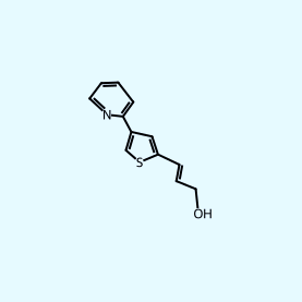 OCC=Cc1cc(-c2ccccn2)cs1